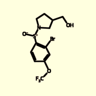 [O-][S+](c1ccc(OC(F)(F)F)cc1Br)N1CCC(CO)C1